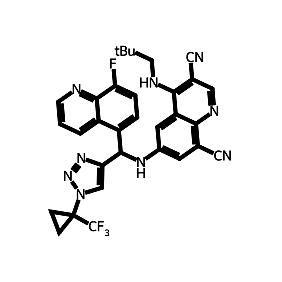 CC(C)(C)CNc1c(C#N)cnc2c(C#N)cc(NC(c3cn(C4(C(F)(F)F)CC4)nn3)c3ccc(F)c4ncccc34)cc12